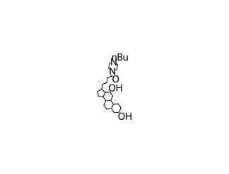 CCCCN1CCN(C(=O)CC[C@@H](C)C2CCC3C4CCC5C[C@H](O)CC[C@]5(C)C4C[C@H](O)[C@@]32C)CC1